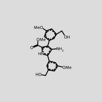 COC(=O)c1[nH]c(-c2cc(CO)cc(OC)c2)c(N)c1-c1cc(CO)cc(OC)c1